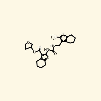 O=C(NCc1c(C(F)(F)F)sc2c1CCCC2)Nc1sc2c(c1C(=O)OC1CCOC1)CCCC2